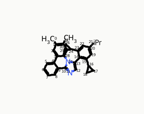 Cc1cc2c3ccccc3c3ncc(-c4c(C5CC5)cc(C(C)C)cc4C4CC4)n3c2cc1C